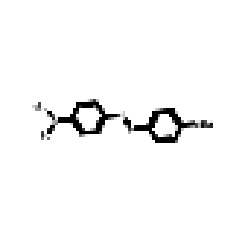 CCCCc1ccc(N=Nc2ccc(N(CCCC)CCCC)cc2)cc1